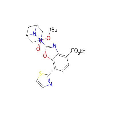 CCOC(=O)c1ccc(-c2nccs2)c2oc(N3CC4CC(C3)N4C(=O)OC(C)(C)C)nc12